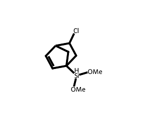 CO[SiH](OC)C12C=CC(C1)C(Cl)C2